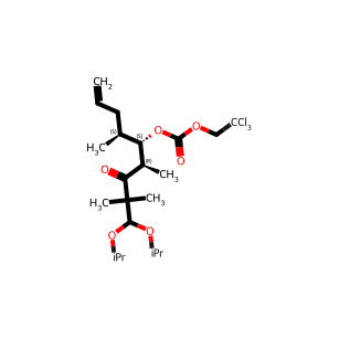 C=CC[C@H](C)[C@H](OC(=O)OCC(Cl)(Cl)Cl)[C@@H](C)C(=O)C(C)(C)C(OC(C)C)OC(C)C